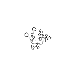 CC(C)(C)OC(=O)/N=C(/NC(=O)OC(C)(C)C)Nc1cccc(N(C(=O)c2ccco2)C2CCN(CC(C(=O)OCc3ccccc3)c3ccccc3)CC2)c1